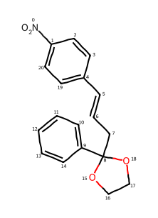 O=[N+]([O-])c1ccc(C=CCC2(c3ccccc3)OCCO2)cc1